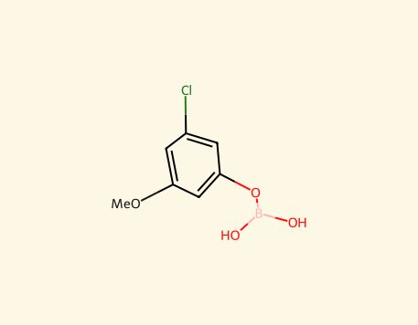 COc1cc(Cl)cc(OB(O)O)c1